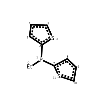 CCP(c1cccs1)c1cccs1